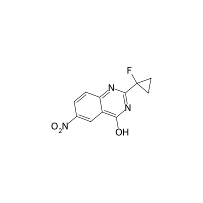 O=[N+]([O-])c1ccc2nc(C3(F)CC3)nc(O)c2c1